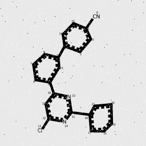 N#Cc1ccc(-c2cccc(-c3cc(Cl)nc(-c4ccccc4)n3)c2)cc1